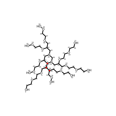 OCCOCCOCC(CN(CC(COCCOCCO)OCCOCCO)CN(CC(COCCOO)OCCOO)CC(COCCOO)OCCOO)OCCOCCO